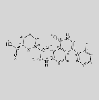 Cc1ccccc1-c1c[nH]c(=O)c2cc(N[C@H](C)C(=O)N3CCC[C@H](C(=O)O)C3)ccc12